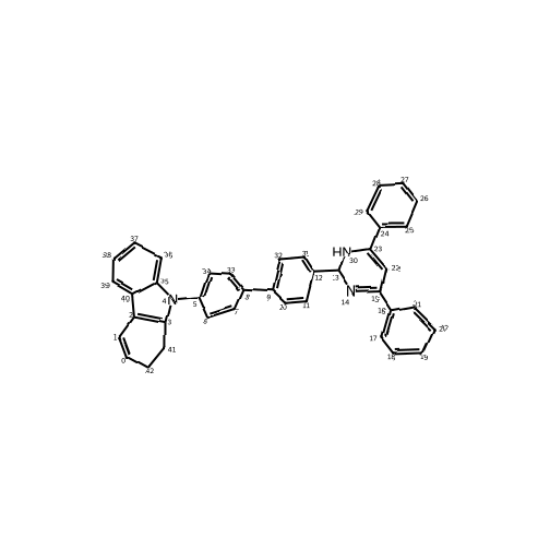 C1=Cc2c(n(-c3ccc(-c4ccc(C5N=C(c6ccccc6)C=C(c6ccccc6)N5)cc4)cc3)c3ccccc23)CC1